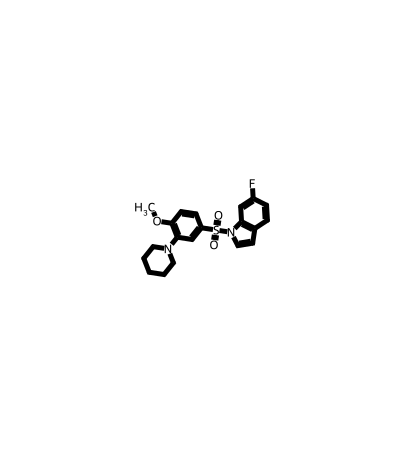 COc1ccc(S(=O)(=O)n2ccc3ccc(F)cc32)cc1N1CCCCC1